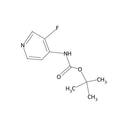 CC(C)(C)OC(=O)Nc1ccncc1F